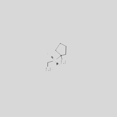 NCS(=O)(=O)C1(N)CCCC1